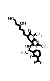 Cc1nc(N[C@H](C)c2cccc(C(F)F)c2F)c2cc(CCC[C@@H](O)CCO)c(=O)n(C)c2n1